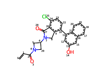 C=CC(=O)N1CC(N2Cc3c(-c4cc(O)cc5ccccc45)ccc(Cl)c3C2=O)C1